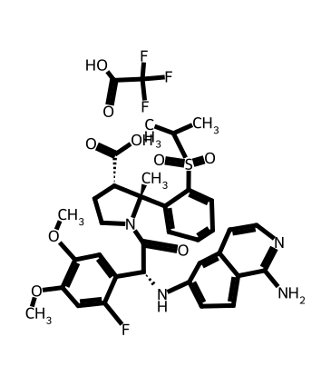 COc1cc(F)c([C@@H](Nc2ccc3c(N)nccc3c2)C(=O)N2CC[C@H](C(=O)O)[C@]2(C)c2ccccc2S(=O)(=O)C(C)C)cc1OC.O=C(O)C(F)(F)F